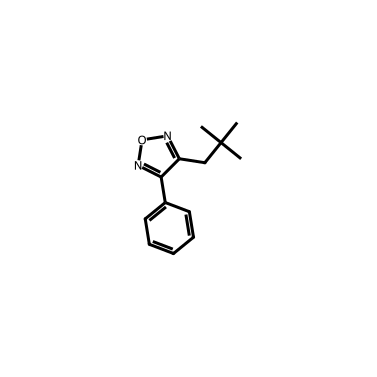 CC(C)(C)Cc1nonc1-c1ccccc1